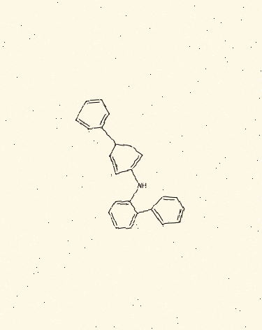 C1=CC(c2ccccc2)CC=C1Nc1ccccc1-c1ccccc1